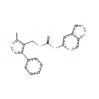 Cc1onc(-c2ccccc2)c1CNC(=O)Nc1cc2cn[nH]c2cn1